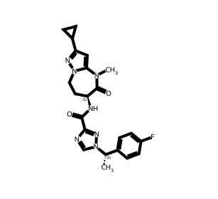 C[C@@H](c1ccc(F)cc1)n1cnc(C(=O)N[C@H]2CCn3nc(C4CC4)cc3N(C)C2=O)n1